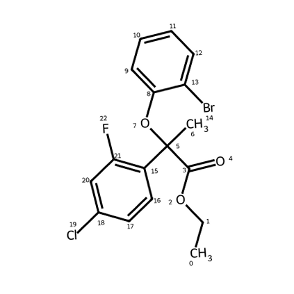 CCOC(=O)C(C)(Oc1ccccc1Br)c1ccc(Cl)cc1F